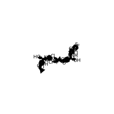 O=S(=O)(CC1CC1)c1ccc([C@@H](CCO)c2nc3cc(Cl)c(N4CCC(F)(C5CC5CS(=O)(=O)c5ccc([C@H](CCO)c6nc7cc(Cl)c(N8CCC(F)(F)CC8)c(Cl)c7[nH]6)cc5)CC4)c(Cl)c3[nH]2)cc1